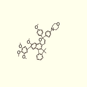 COc1ccc(C2(c3ccc(N4CCOCC4)cc3)C=Cc3c4c(c5cc(-c6cc(OC)c(OC)c(OC)c6)c(OC)cc5c3O2)-c2ccccc2C4(C)C)cc1